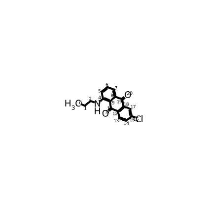 CCCNc1cccc2c1C(=O)c1ccc(Cl)cc1C2=O